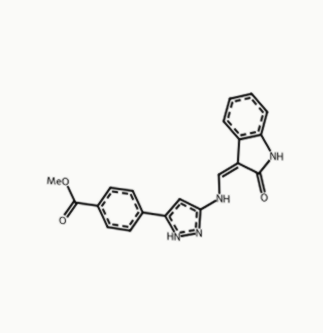 COC(=O)c1ccc(-c2cc(NC=C3C(=O)Nc4ccccc43)n[nH]2)cc1